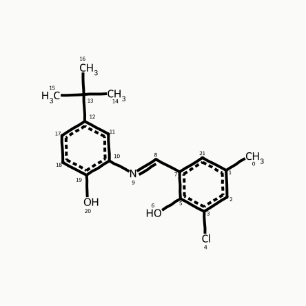 Cc1cc(Cl)c(O)c(/C=N/c2cc(C(C)(C)C)ccc2O)c1